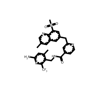 Cc1cnc2c(S(C)(=O)=O)cc(Cc3cc(C(=O)NCc4c(C)cc(N)nc4C(F)(F)F)ccn3)cc2c1